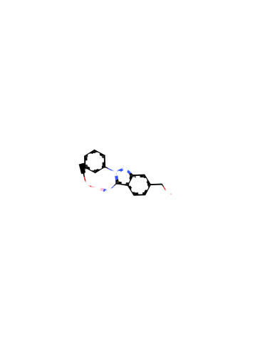 C#CO/B=N/c1c2ccc(CO)cc2nn1-c1ccccc1